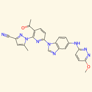 COc1ccc(Nc2ccc3c(c2)ncn3-c2ccc(C(C)=O)c(-n3nc(C#N)cc3C)n2)nn1